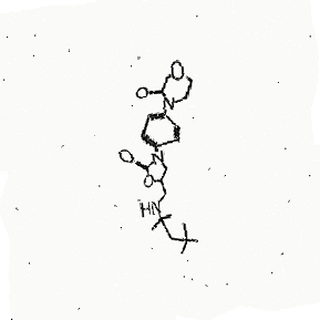 CC(C)(C)CC(C)(C)NCC1CN(c2ccc(N3CCOCC3=O)cc2)C(=O)O1